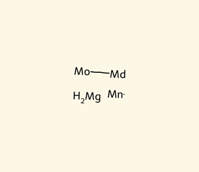 [MgH2].[Mn].[Mo][Md]